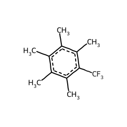 Cc1c(C)c(C)c(C(F)(F)F)c(C)c1C